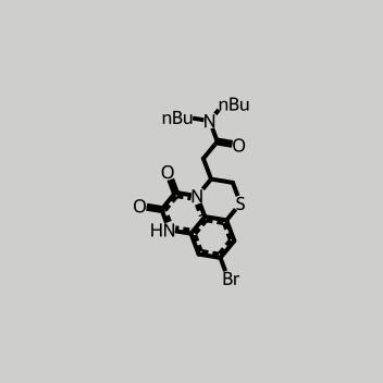 CCCCN(CCCC)C(=O)CC1CSc2cc(Br)cc3[nH]c(=O)c(=O)n1c23